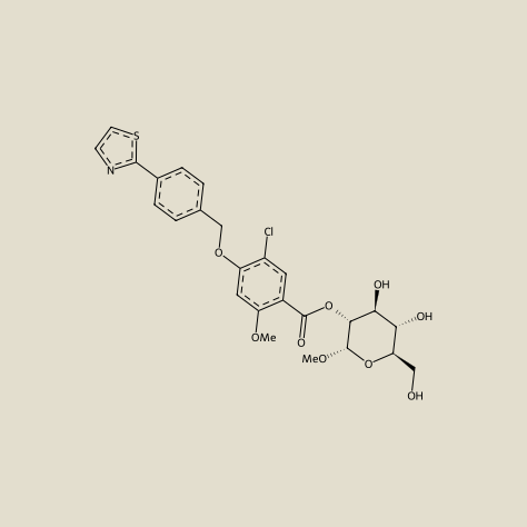 COc1cc(OCc2ccc(-c3nccs3)cc2)c(Cl)cc1C(=O)O[C@H]1[C@@H](OC)O[C@H](CO)[C@@H](O)[C@@H]1O